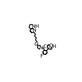 O=C(O)C(c1cc(F)ccc1C1CCOCC1)N1CC[C@@H](OCCCCCc2ccc3c(n2)NCCC3)C1